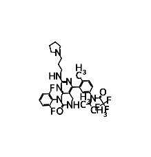 Cc1ccc(N(C(=O)C(F)(F)F)C(C)C)cc1-c1nc(NCCCN2CCCC2)nc2c1CNC(=O)N2c1c(F)cccc1F